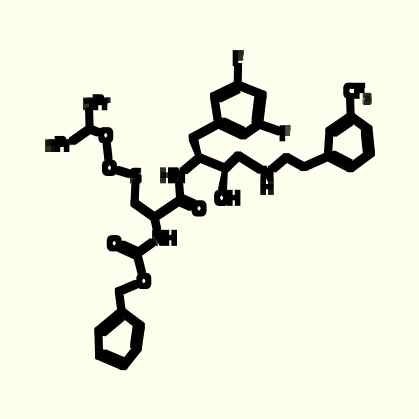 CCCC(CCC)OOSCC(NC(=O)OCc1ccccc1)C(=O)N[C@@H](Cc1cc(F)cc(F)c1)[C@H](O)CNCCc1cccc(C(F)(F)F)c1